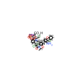 CC1COc2ccccc2N1C(=O)C(Cl)Cl.CCc1cccc(CC)c1N(COC)C(=O)CCl.Nc1c([N+](=O)[O-])ccc(Oc2ccccc2)c1Cl.O=C(O)CNCP(=O)(O)O